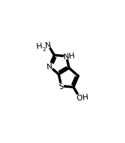 Nc1nc2sc(O)cc2[nH]1